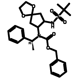 C[C@H](c1ccccc1)N(C(=O)OCc1ccccc1)C1CC2(CC1NS(=O)(=O)C(C)(C)C)OCCO2